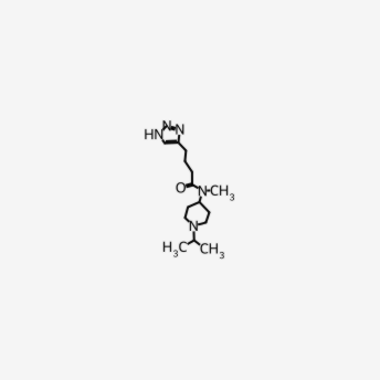 CC(C)N1CCC(N(C)C(=O)CCCc2c[nH]nn2)CC1